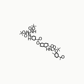 CC(=O)c1ccc(C[C@H](NC(=O)c2ccc3cc(OC(=O)c4ccc(N/C(=N\C(=O)OC(C)(C)C)NC(=O)OC(C)(C)C)cc4)ccc3c2)C(=O)OC(C)(C)C)cc1